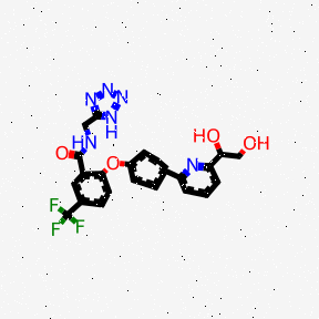 O=C(NCc1nnn[nH]1)c1cc(C(F)(F)F)ccc1Oc1ccc(-c2cccc(C(O)CO)n2)cc1